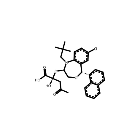 CC(=O)C[C@@](O)(O[C@@H]1CO[C@@H](c2cccc3ccccc23)c2cc(Cl)ccc2N1CC(C)(C)C)C(=O)O